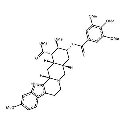 COC(=O)[C@H]1[C@H]2C[C@H]3c4[nH]c5cc(OC)ccc5c4CCN3C[C@H]2C[C@@H](OC(=O)c2cc(OC)c(OC)c(OC)c2)[C@@H]1OC